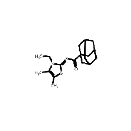 CCn1c(C)c(C)sc1=NC(=O)C12CC3CC(CC(C3)C1)C2